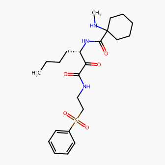 CCCC[C@H](NC(=O)C1(NC)CCCCC1)C(=O)C(=O)NCCS(=O)(=O)c1ccccc1